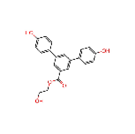 O=C(OCCO)c1cc(-c2ccc(O)cc2)cc(-c2ccc(O)cc2)c1